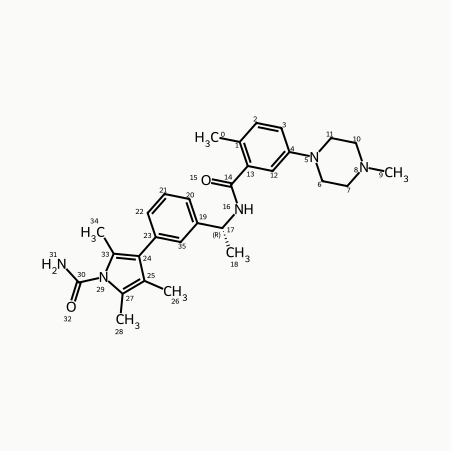 Cc1ccc(N2CCN(C)CC2)cc1C(=O)N[C@H](C)c1cccc(-c2c(C)c(C)n(C(N)=O)c2C)c1